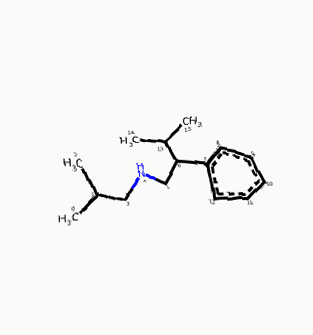 CC(C)CNCC(c1ccccc1)C(C)C